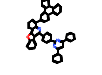 c1ccc(-c2cc(-c3ccccc3)nc(-c3ccc(-c4nc5c(-c6ccc7c8ccccc8c8ccccc8c7c6)cccc5c5oc6ccccc6c45)cc3)n2)cc1